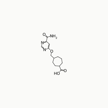 NC(=O)c1cc(OCC2CCCC(C(=O)O)CC2)ncn1